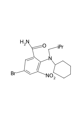 CC(C)CN(c1c(C(N)=O)cc(Br)cc1[N+](=O)[O-])C1CCCCC1